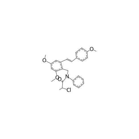 COc1ccc(C=Cc2cc(OC)cc(OC)c2CN(C(=O)C(C)Cl)c2ccccc2)cc1